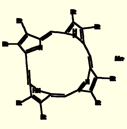 CCC1=C(CC)c2cc3[nH]c(cc4nc(cc5[nH]c(cc1n2)c(CC)c5CC)C(CC)=C4CC)c(CC)c3CC.[Mn]